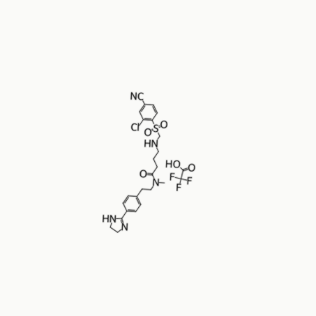 CN(CCc1ccc(C2=NCCN2)cc1)C(=O)CCCNCS(=O)(=O)c1ccc(C#N)cc1Cl.O=C(O)C(F)(F)F